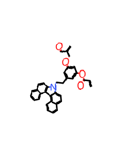 C=CC(=O)Oc1cc(CCn2c3ccc4ccccc4c3c3c4ccccc4ccc32)cc(OCC(=C)C=O)c1